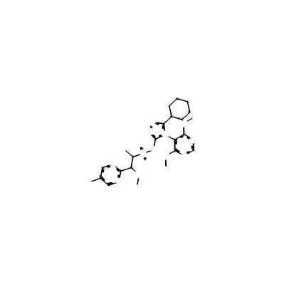 COc1ncnc(OC)c1-n1c(NS(=O)(=O)C(C)C(OC)c2ncc(Cl)cn2)nnc1C1CCCCC1